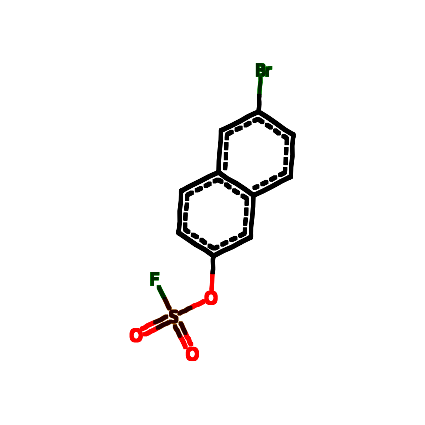 O=S(=O)(F)Oc1ccc2cc(Br)ccc2c1